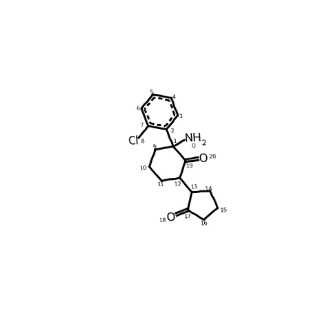 NC1(c2ccccc2Cl)CCCC(C2CCCC2=O)C1=O